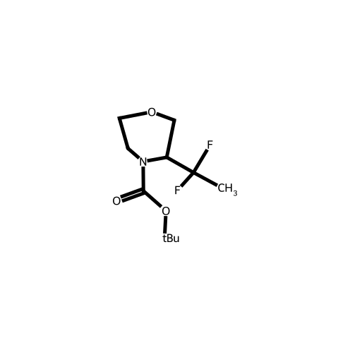 CC(C)(C)OC(=O)N1CCOCC1C(C)(F)F